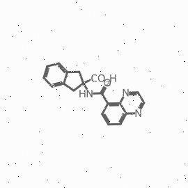 O=C(NC1(C(=O)O)Cc2ccccc2C1)c1cccc2nccnc12